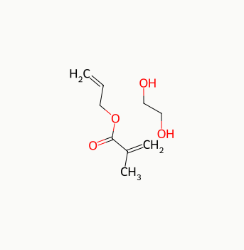 C=CCOC(=O)C(=C)C.OCCO